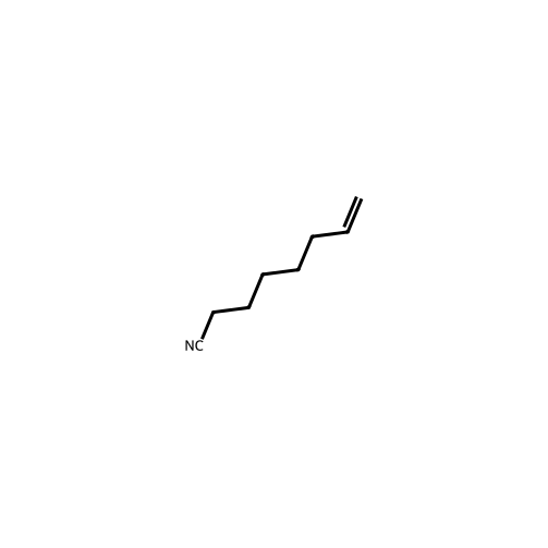 C=CCCCCCC#N